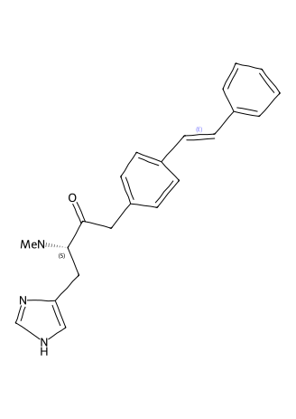 CN[C@@H](Cc1c[nH]cn1)C(=O)Cc1ccc(/C=C/c2ccccc2)cc1